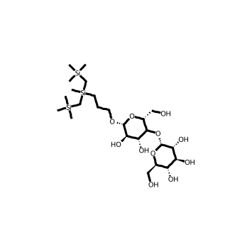 C[Si](C)(C)C[Si](C)(CCCO[C@@H]1O[C@H](CO)C(O[C@H]2O[C@H](CO)[C@@H](O)[C@H](O)[C@H]2O)[C@H](O)[C@H]1O)C[Si](C)(C)C